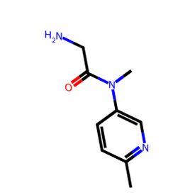 Cc1ccc(N(C)C(=O)CN)cn1